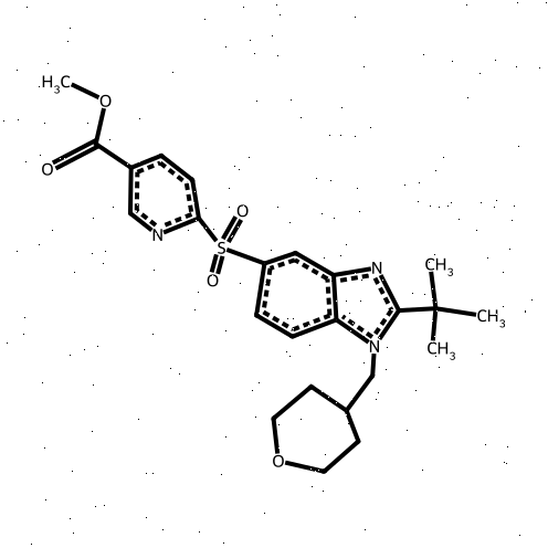 COC(=O)c1ccc(S(=O)(=O)c2ccc3c(c2)nc(C(C)(C)C)n3CC2CCOCC2)nc1